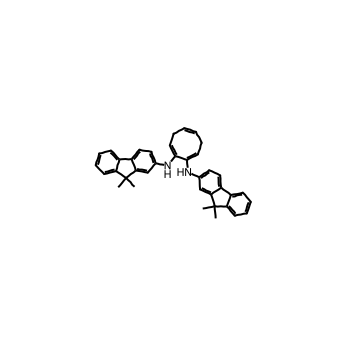 CC1(C)c2ccccc2-c2ccc(NC3=C/C/C=C\C/C=C\3Nc3ccc4c(c3)C(C)(C)c3ccccc3-4)cc21